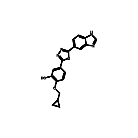 Oc1cc(-c2nnc(-c3ccc4[nH]cnc4c3)o2)ccc1OCC1CC1